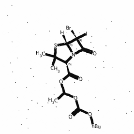 CCCCOC(=O)OC(C)OC(=O)[C@@H]1N2C(=O)[C@@](Br)(I)[C@H]2SC1(C)C